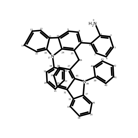 Nc1ccccc1-c1ccc2c3ccccc3n(-c3ccccc3)c2c1Cc1cccc2c3ccccc3n(-c3ccccc3)c12